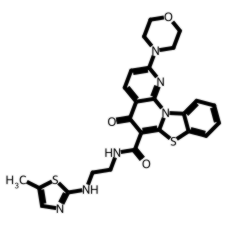 Cc1cnc(NCCNC(=O)c2c(=O)c3ccc(N4CCOCC4)nc3n3c2sc2ccccc23)s1